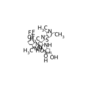 CCc1cc2sc(-c3c(C)nc(N[C@H](C)c4ccc(OC(F)(F)F)cc4)nc3NC3C[C@H](CO)[C@@H](O)[C@H]3O)nc2c(CC)n1